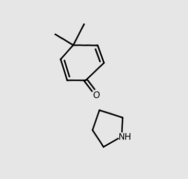 C1CCNC1.CC1(C)C=CC(=O)C=C1